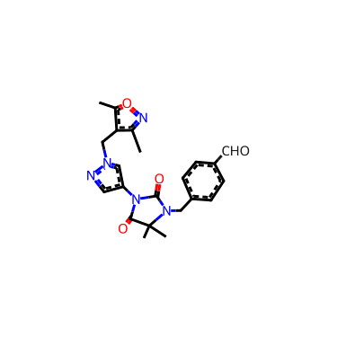 Cc1noc(C)c1Cn1cc(N2C(=O)N(Cc3ccc(C=O)cc3)C(C)(C)C2=O)cn1